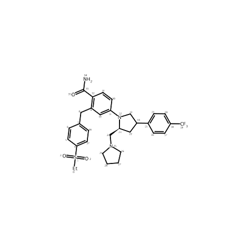 CCS(=O)(=O)c1ccc(Cc2cc(N3CC(c4ccc(C(F)(F)F)cc4)C[C@H]3CN3CCCC3)ccc2C(N)=O)cc1